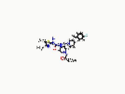 CNC(=O)CN1CC[C@@H](NC(=O)Nc2nc(C)c(C(C)=O)s2)[C@H](CN2CCC[C@@H](Cc3ccc(F)cc3)C2)C1